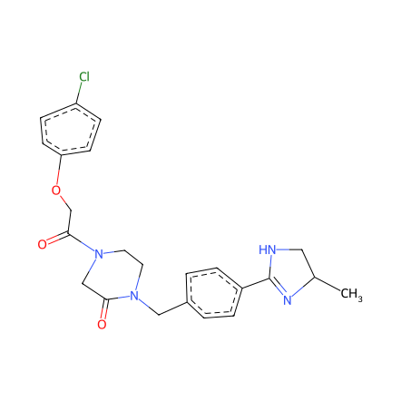 CC1CNC(c2ccc(CN3CCN(C(=O)COc4ccc(Cl)cc4)CC3=O)cc2)=N1